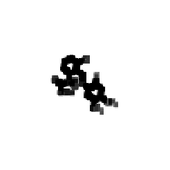 COC(=O)N(O)c1cccc(Cl)c1COc1cc(C)c(C)cc1F